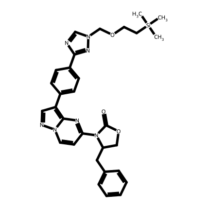 C[Si](C)(C)CCOCn1cnc(-c2ccc(-c3cnn4ccc(N5C(=O)OCC5Cc5ccccc5)nc34)cc2)n1